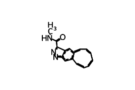 CNC(=O)C1=NN=c2cc3\c(cc21)=C/C=C\C=C/C=C\3